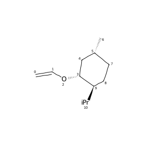 C=CO[C@@H]1C[C@H](C)CC[C@H]1C(C)C